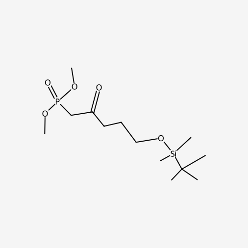 COP(=O)(CC(=O)CCCO[Si](C)(C)C(C)(C)C)OC